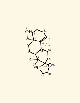 CC1(C)C2CC[C@@]3(CO)CCCC=C3[C@@]2(C)CCC12OCCO2